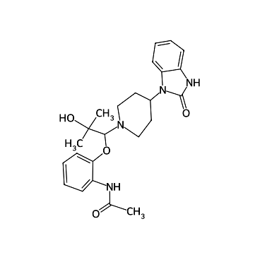 CC(=O)Nc1ccccc1OC(N1CCC(n2c(=O)[nH]c3ccccc32)CC1)C(C)(C)O